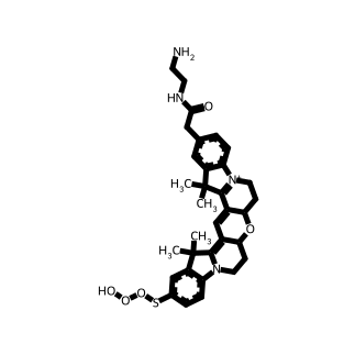 CC1(C)C2=C3C=C4C5=[N+](CCC4OC3CCN2c2ccc(SOOO)cc21)c1ccc(CC(=O)NCCN)cc1C5(C)C